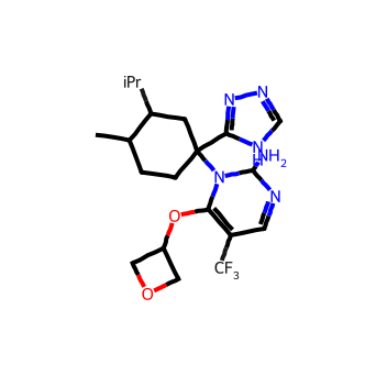 CC(C)C1CC(c2nnc[nH]2)(N2C(OC3COC3)=C(C(F)(F)F)C=NC2N)CCC1C